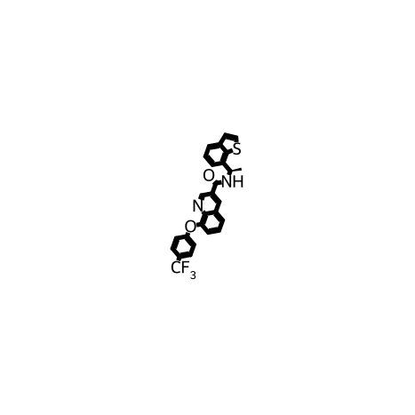 C[C@@H](NC(=O)c1cnc2c(Oc3ccc(C(F)(F)F)cc3)cccc2c1)c1cccc2ccsc12